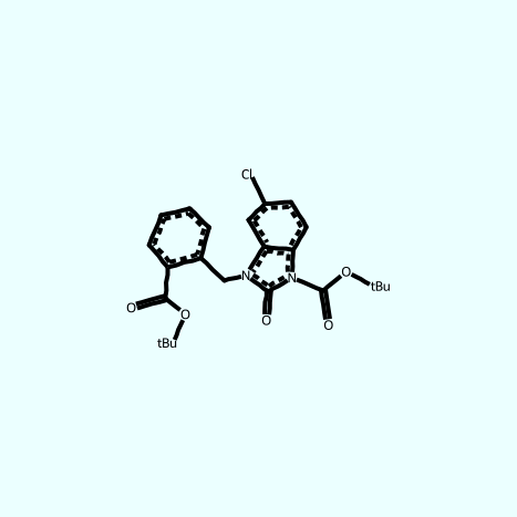 CC(C)(C)OC(=O)c1ccccc1Cn1c(=O)n(C(=O)OC(C)(C)C)c2ccc(Cl)cc21